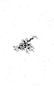 CCCCC(=O)N(C(=O)OC(C)(C)C)[C@@]([C]=O)(NC(=O)OC(C)(C)C)C(C)(C)CC